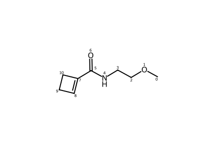 COCCNC(=O)C1=CCC1